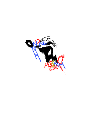 CC(C)CCN(C(=O)C(F)(F)F)[C@@H](Cc1ccc(C2CC(=O)NS2(O)O)cc1)c1nc2ccccc2[nH]1